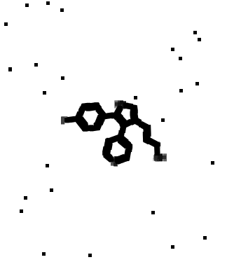 OCC=Cc1c[nH]c(-c2ccc(F)cc2)c1-c1ccncc1